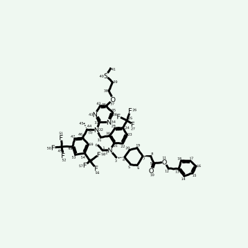 CCN(C[C@H]1CC[C@H](CC(=O)OCc2ccccc2)CC1)c1ccc(C(F)(F)F)cc1CN(c1ncc(OCCSC)cn1)[C@@H](C)c1cc(C(F)(F)F)cc(C(F)(F)F)c1